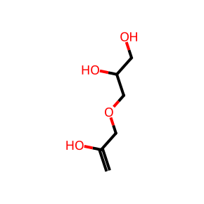 C=C(O)COCC(O)CO